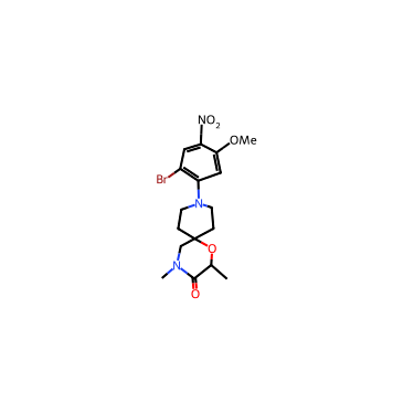 COc1cc(N2CCC3(CC2)CN(C)C(=O)C(C)O3)c(Br)cc1[N+](=O)[O-]